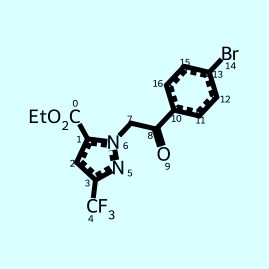 CCOC(=O)c1cc(C(F)(F)F)nn1CC(=O)c1ccc(Br)cc1